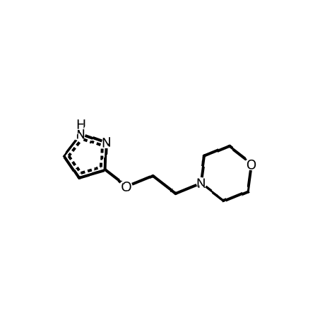 c1cc(OCCN2CCOCC2)n[nH]1